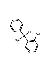 CC(C)(c1ccccc1)c1[c]cccc1O